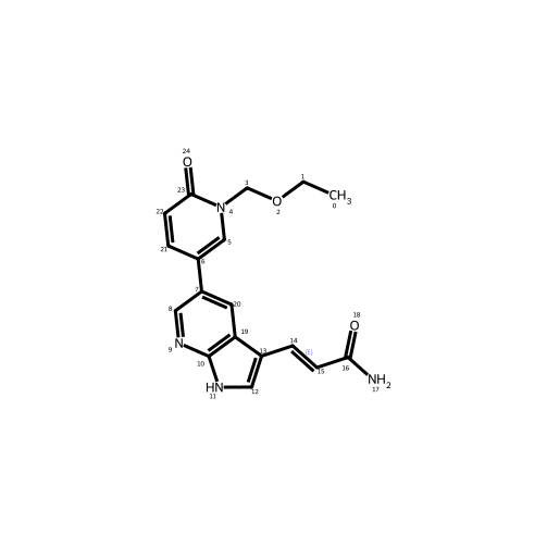 CCOCn1cc(-c2cnc3[nH]cc(/C=C/C(N)=O)c3c2)ccc1=O